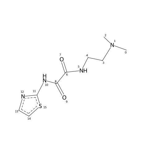 CN(C)CCNC(=O)C(=O)Nc1nccs1